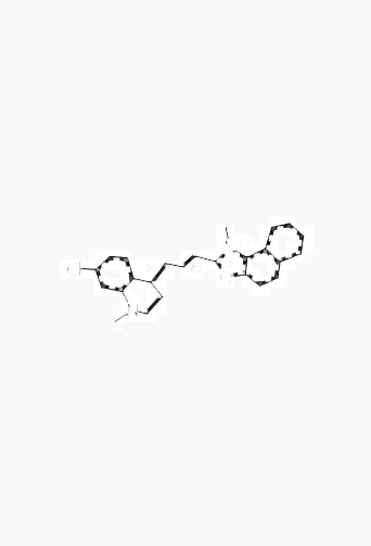 CN1C=C/C(=C\C=C\c2oc3ccc4ccccc4c3[n+]2C)c2ccc(Cl)cc21